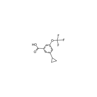 O=C(O)c1cc(OC(F)(F)F)cc(C2CC2)c1